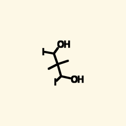 CC(C)(C(O)I)C(O)I